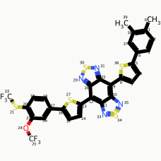 Cc1ccc(-c2ccc(-c3c4c(c(-c5ccc(-c6ccc(SC(F)(F)F)c(OC(F)(F)F)c6)s5)c5nsnc35)N=S=N4)s2)cc1C